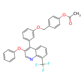 CC(=O)Oc1ccc(COc2cccc(-c3c(Oc4ccccc4)cnc4c(C(F)(F)F)cccc34)c2)cc1